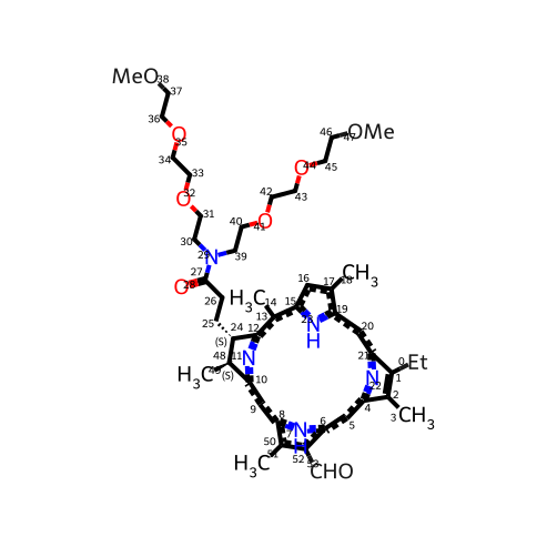 CCC1=C(C)c2cc3[nH]c(cc4nc(c(C)c5cc(C)c(cc1n2)[nH]5)[C@@H](CCC(=O)N(CCOCCOCCOC)CCOCCOCCOC)[C@@H]4C)c(C)c3C=O